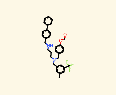 Cc1cc(CN(CCCNCc2ccc(-c3ccccc3)cc2)Cc2ccc(OC=O)cc2)cc(C(F)(F)F)c1